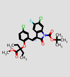 CCC(CC)(Oc1ccc(Cl)cc1/C=C1/C(=O)N(C(=O)OC(C)(C)C)c2cc(Cl)c(F)cc21)C(=O)OC